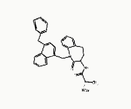 CN[C@@H](C)C(=O)NC1CCc2ccccc2N(Cc2ccc(Cc3ccccc3)c3ccccc23)C1=O